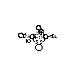 CC(C)(C)c1cc(CSC2CCCCCCC2SCc2cc(C(C)(C)C)cc(-n3cc4ccccc4c3)c2O)c(O)c(-n2cc3ccccc3c2)c1